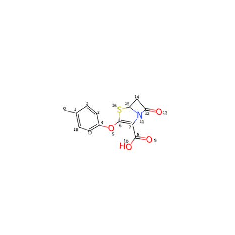 Cc1ccc(OC2=C(C(=O)O)N3C(=O)CC3S2)cc1